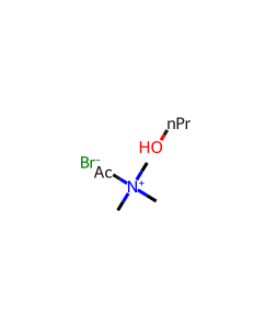 CC(=O)[N+](C)(C)C.CCCO.[Br-]